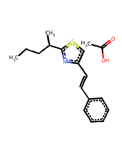 CC(=O)O.CCCC(C)c1nc(C=Cc2ccccc2)cs1